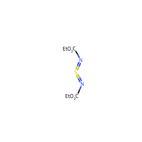 CCOC(=O)N=S=NC(=O)OCC